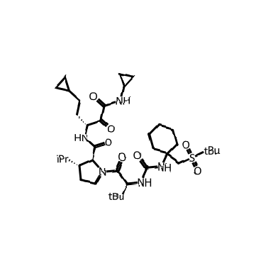 CC(C)[C@H]1CCN(C(=O)[C@@H](NC(=O)NC2(CS(=O)(=O)C(C)(C)C)CCCCC2)C(C)(C)C)[C@@H]1C(=O)N[C@H](CCC1CC1)C(=O)C(=O)NC1CC1